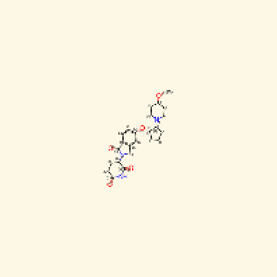 CC(C)OC1CCN([C@@H]2CCC[C@@H]2Oc2ccc3c(c2)CN(C2CCC(=O)NC2=O)C3=O)CC1